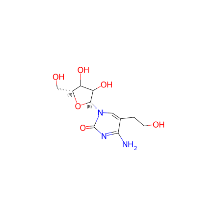 Nc1nc(=O)n([C@@H]2O[C@H](CO)C(O)C2O)cc1CCO